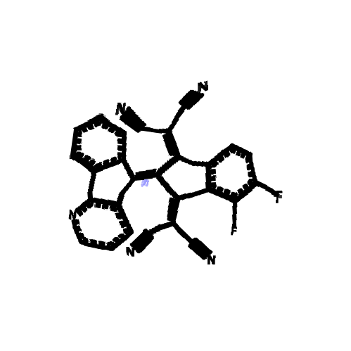 N#CC(C#N)=C1/C(=C2\c3ccccc3-c3ncccc32)C(=C(C#N)C#N)c2c1ccc(F)c2F